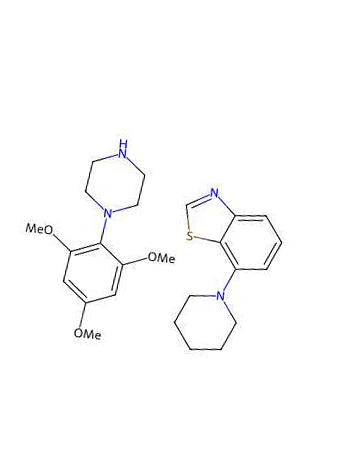 COc1cc(OC)c(N2CCNCC2)c(OC)c1.c1cc(N2CCCCC2)c2scnc2c1